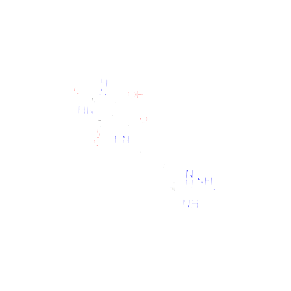 N/C=C(\NN)C1CCC(NC(=O)c2c(O)[nH]c(=O)[nH]c2=O)CC1